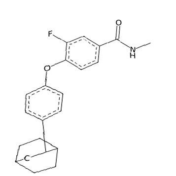 CNC(=O)c1ccc(Oc2ccc(C3CC4CCC3CC4)cc2)c(F)c1